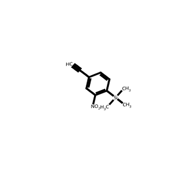 C#Cc1ccc([Si](C)(C)C)c([N+](=O)[O-])c1